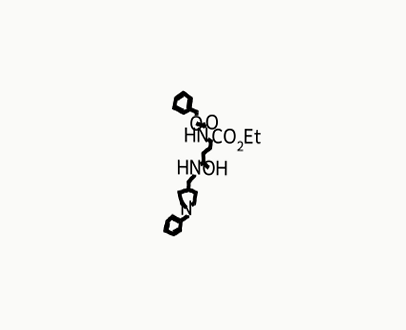 CCOC(=O)[C@H](CCC(O)NCCC1CCN(Cc2ccccc2)CC1)NC(=O)OCc1ccccc1